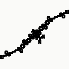 CC(C)(C)c1cc(OC(=O)C2CCC(OC(=O)C3CCC(C(=O)OCCCCCCOC(=O)CCCl)CC3)CC2)c2c(c1OC(=O)C1CCC(OC(=O)C3CCC(C(=O)OCCCCCCOC(=O)CCCl)CC3)CC1)SC(=C(C#N)C#N)S2